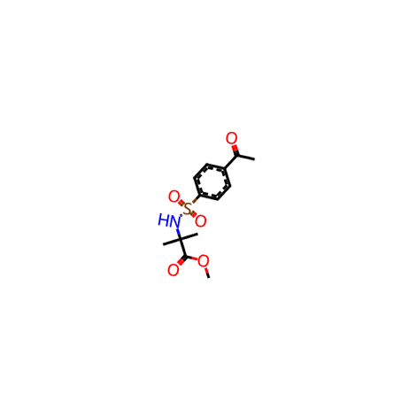 COC(=O)C(C)(C)NS(=O)(=O)c1ccc(C(C)=O)cc1